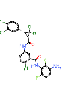 Nc1ccc(F)c(NC(=O)c2cc(NC(=O)C3[C@H](c4ccc(Cl)c(Cl)c4)C3(Cl)Cl)ccc2Cl)c1F